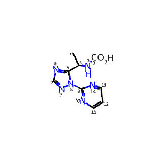 CC(NC(=O)O)c1ncnn1-c1ncccn1